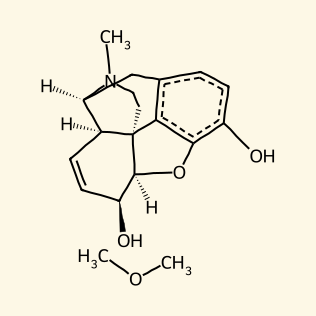 CN1CC[C@]23c4c5ccc(O)c4O[C@H]2[C@@H](O)C=C[C@H]3[C@H]1C5.COC